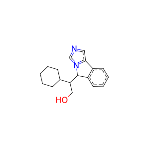 OCC(C1CCCCC1)C1c2ccccc2-c2cncn21